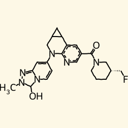 CN1N=C2C=C(N3CC4CC4c4cc(C(=O)N5CCC[C@@H](CF)C5)cnc43)C=CN2C1O